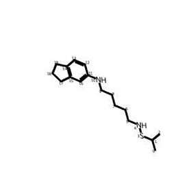 CC(C)SNCCCCCNc1ccc2c(c1)CCC2